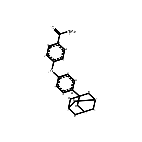 CNC(=O)c1ccc(Oc2ccc(C34CC5CC(CC(C5)C3)C4)cc2)cc1